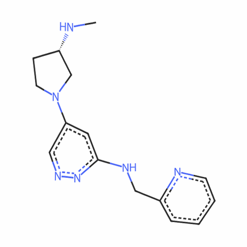 CN[C@H]1CCN(c2cnnc(NCc3ccccn3)c2)C1